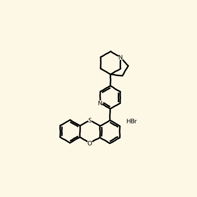 Br.c1ccc2c(c1)Oc1cccc(-c3ccc(C45CCCN(CC4)C5)cn3)c1S2